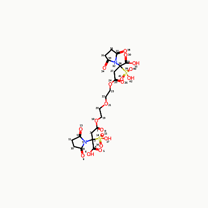 O=C(CC(C(=O)O)(N1C(=O)CCC1=O)S(=O)(=O)O)OCCOCCOC(=O)CC(C(=O)O)(N1C(=O)CCC1=O)S(=O)(=O)O